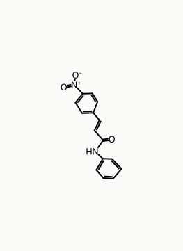 O=C(C=Cc1ccc([N+](=O)[O-])cc1)Nc1ccccc1